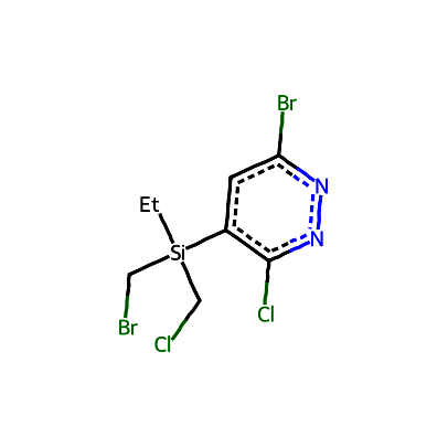 CC[Si](CCl)(CBr)c1cc(Br)nnc1Cl